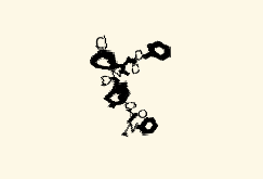 Cc1cc(C(=O)n2c(C)c(CC(=O)OCc3ccccc3)c3cc(Cl)ccc32)ccc1OC[C@@H]1CN(C)c2ccccc2O1